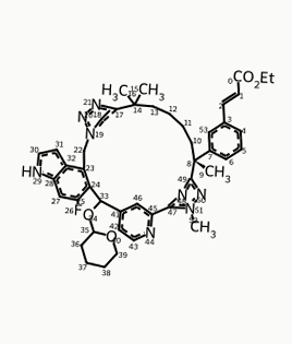 CCOC(=O)/C=C/c1cccc([C@@]2(C)CCCCC(C)(C)c3cn(nn3)Cc3c(c(F)cc4[nH]ccc34)C(OC3CCCCO3)c3ccnc(c3)-c3nc2nn3C)c1